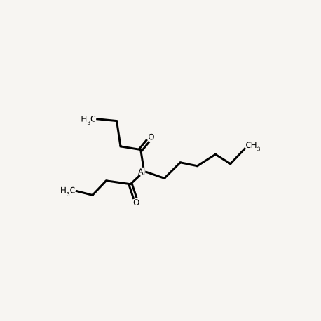 CCCCC[CH2][Al]([C](=O)CCC)[C](=O)CCC